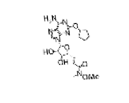 CON(C)C(=O)C=C[C@H]1O[C@@H](n2cnc3c(N)nc(OC4CCCC4)nc32)[C@H](O)[C@@H]1O